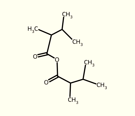 CC(C)C(C)C(=O)OC(=O)C(C)C(C)C